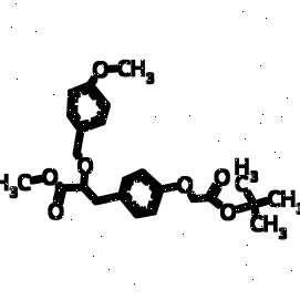 COC(=O)C(Cc1ccc(OCC(=O)OC(C)(C)C)cc1)OCc1ccc(OC)cc1